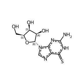 Nc1nc2c(ncn2[C@@H]2O[C@@H](CO)[C@@H](O)[C@H]2O)c(=S)[nH]1